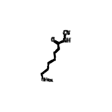 CCCCCCCCCCCCC(=O)NC#N